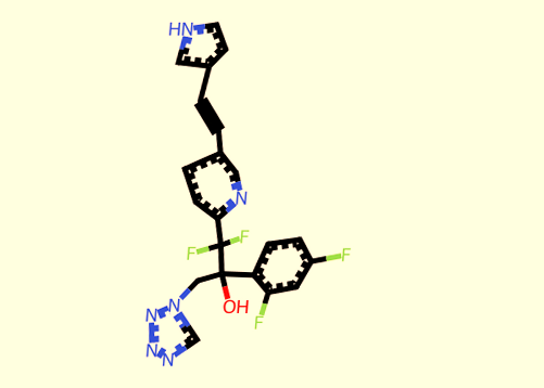 OC(Cn1cnnn1)(c1ccc(F)cc1F)C(F)(F)c1ccc(C#Cc2cc[nH]c2)cn1